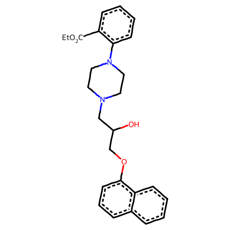 CCOC(=O)c1ccccc1N1CCN(CC(O)COc2cccc3ccccc23)CC1